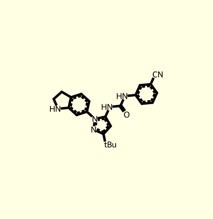 CC(C)(C)c1cc(NC(=O)Nc2cccc(C#N)c2)n(-c2ccc3c(c2)NCC3)n1